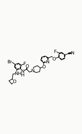 N#Cc1ccc(OCc2cccc(OC3CCN(CC(=O)Nc4c(F)cc(Br)cc4NCC4CCO4)CC3)n2)c(F)c1